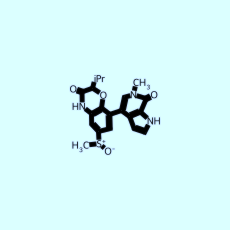 CC(C)C1Oc2c(cc([S+](C)[O-])cc2-c2cn(C)c(=O)c3[nH]ccc23)NC1=O